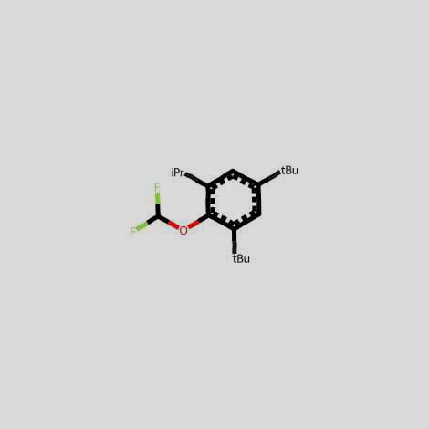 CC(C)c1cc(C(C)(C)C)cc(C(C)(C)C)c1OC(F)F